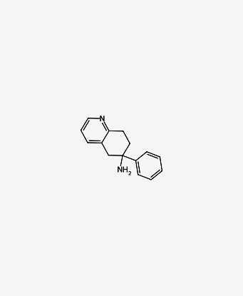 NC1(c2ccccc2)CCc2ncccc2C1